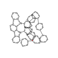 c1ccc(-c2ccc(-c3ccccc3-c3cc(-c4ccccc4)cc(-n4c5ccccc5c5ccc6c7ccccc7n(-c7nc(-c8ccccc8)nc(-c8ccccc8-c8ccccc8)n7)c6c54)c3)cc2)cc1